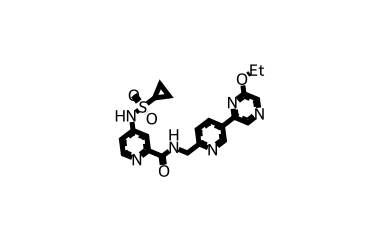 CCOc1cncc(-c2ccc(CNC(=O)c3cc(NS(=O)(=O)C4CC4)ccn3)nc2)n1